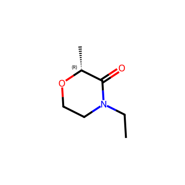 CCN1CCO[C@H](C)C1=O